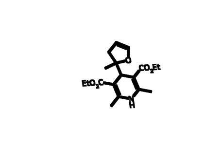 CCOC(=O)C1=C(C)NC(C)=C(C(=O)OCC)C1C1(C)CC=CO1